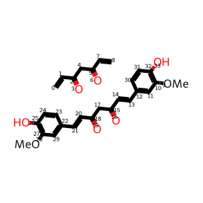 C=CC(=O)CC(=O)C=C.COc1cc(C=CC(=O)CC(=O)C=Cc2ccc(O)c(OC)c2)ccc1O